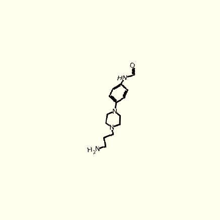 NCCCN1CCN(c2ccc(NC=O)cc2)CC1